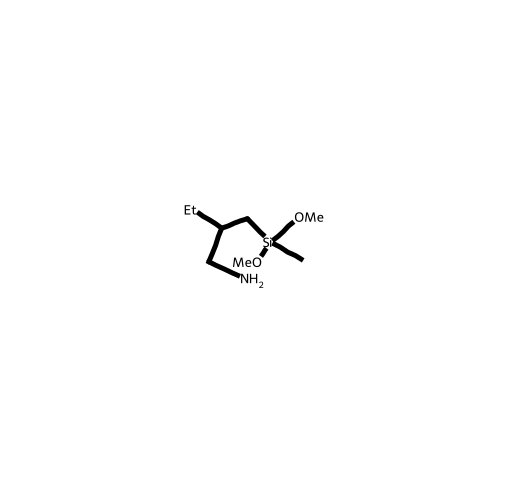 CCC(CN)C[Si](C)(OC)OC